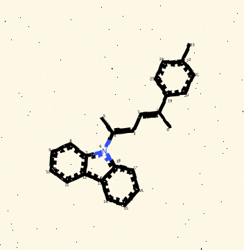 C/C(=C\C=C(/C)n1c2ccccc2c2ccccc21)c1ccc(C)cc1